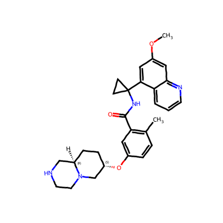 COc1cc(C2(NC(=O)c3cc(O[C@H]4CC[C@@H]5CNCCN5C4)ccc3C)CC2)c2cccnc2c1